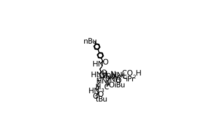 CCCCc1ccc(-c2ccc(C(=O)NCCC(=O)N[C@@H](CCCCNC(=O)OC(C)(C)C)C(=O)N[C@H](C(=O)N[C@@H](N)C(=O)N[C@@H](CC(C)C)C(=O)O)[C@@H](C)OCC(C)C)cc2)cc1